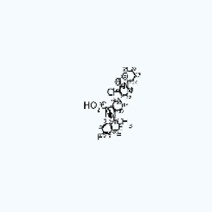 CC(c1ccc(F)cc1C(F)F)n1nc(C(=O)O)c2c1CCN(c1cnn(C3CCCCO3)c(=O)c1Cl)C2